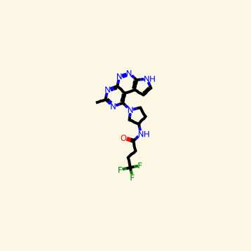 Cc1nc(N2CCC(NC(=O)CCC(F)(F)F)C2)c2c(nnc3[nH]ccc32)n1